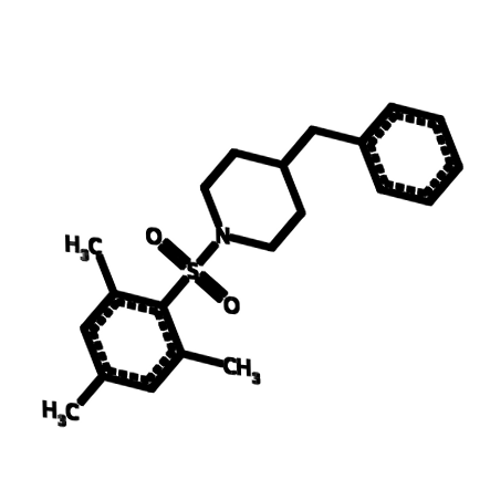 Cc1cc(C)c(S(=O)(=O)N2CCC(Cc3ccccc3)CC2)c(C)c1